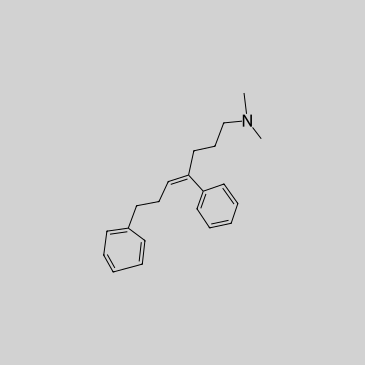 CN(C)CCC/C(=C/CCc1ccccc1)c1ccccc1